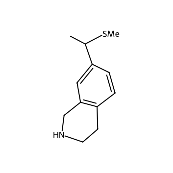 CSC(C)c1ccc2c(c1)CNCC2